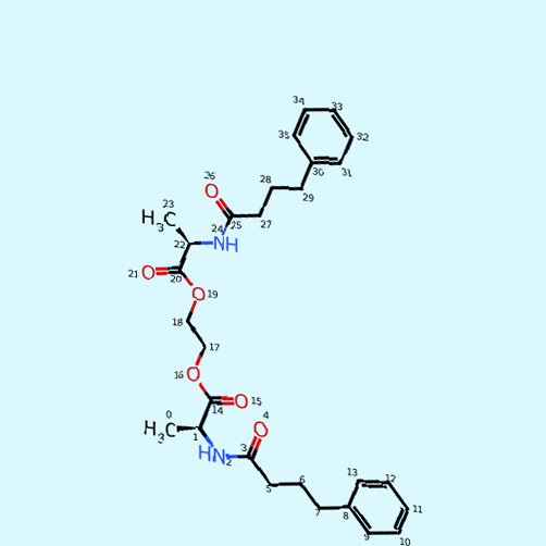 C[C@H](NC(=O)CCCc1ccccc1)C(=O)OCCOC(=O)[C@@H](C)NC(=O)CCCc1ccccc1